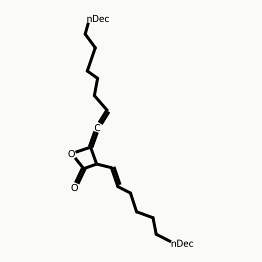 CCCCCCCCCCCCCCC=CC1C(=O)OC1=C=CCCCCCCCCCCCCCCC